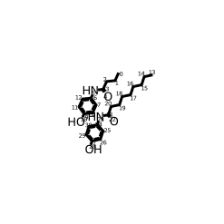 CCCC(=O)Nc1ccc(O)cc1.CCCCCCCCC(=O)Nc1ccc(O)cc1